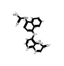 O=C(O)Nc1ccc(Oc2ccnc3ncc(=O)[nH]c23)c2ccccc12